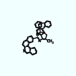 C\C1=C(c2ccc3ccc4ccccc4c3c2)/N=C(c2ccc3ccc4ncc5ccccc5c4c3c2)\N=C(\c2ccccc2)CC1